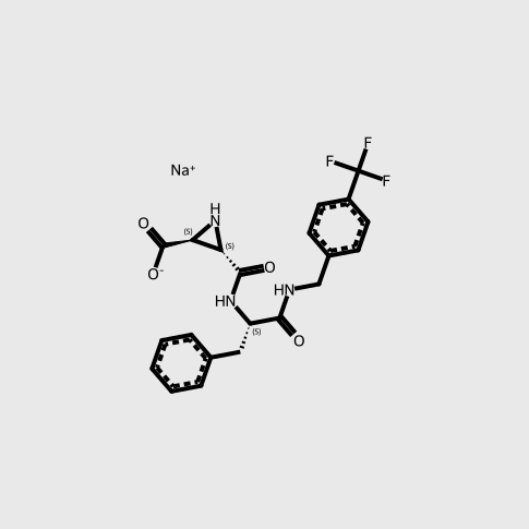 O=C(NCc1ccc(C(F)(F)F)cc1)[C@H](Cc1ccccc1)NC(=O)[C@H]1N[C@@H]1C(=O)[O-].[Na+]